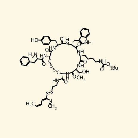 C=N/C(=C\C=C/C)SSCCNC(=O)[C@@H]1CSSC[C@H](NC(=O)[C@H](N)Cc2ccccc2)C(=O)N[C@@H](Cc2ccc(O)cc2)C(=O)N[C@H](Cc2c[nH]c3ccccc23)C(=O)N[C@@H](CCCCNC(=O)OC(C)(C)C)C(=O)N[C@@H]([C@@H](C)O)C(=O)N1